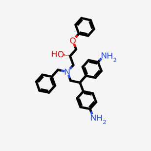 Nc1ccc(C(CN(Cc2ccccc2)C[C@H](O)COc2ccccc2)c2ccc(N)cc2)cc1